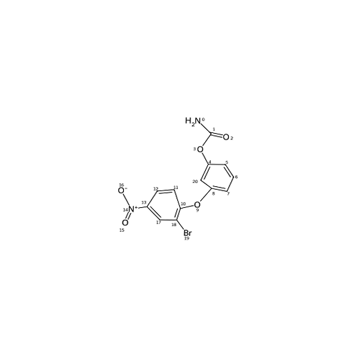 NC(=O)Oc1cccc(Oc2ccc([N+](=O)[O-])cc2Br)c1